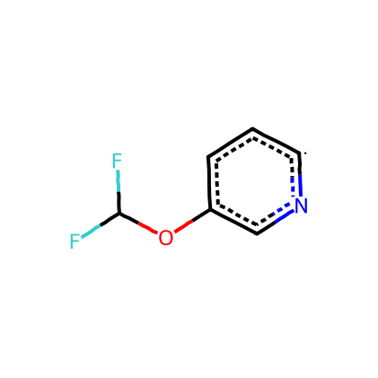 FC(F)Oc1cc[c]nc1